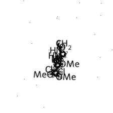 C=CC(=O)Nc1cccc(F)c1Nc1ncc2cc(-c3c(Cl)c(OC)cc(OC)c3Cl)cc(OC)c2n1